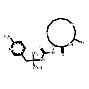 CC(C)C1COCCCCOC[C@@H](NC(=O)N[C@@](C)(Cc2ccc(N)nc2)C(=O)O)C(=O)N1